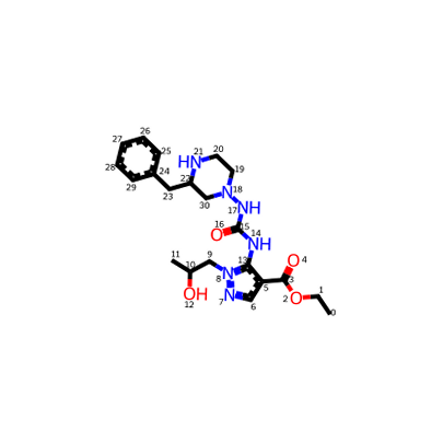 CCOC(=O)c1cnn(CC(C)O)c1NC(=O)NN1CCNC(Cc2ccccc2)C1